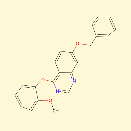 COc1ccccc1Oc1ncnc2cc(OCc3ccccc3)ccc12